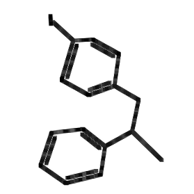 CC(Cc1ccc(I)cc1)c1ccccc1